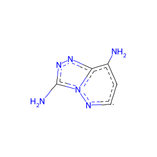 Nc1c[c]nn2c(N)nnc12